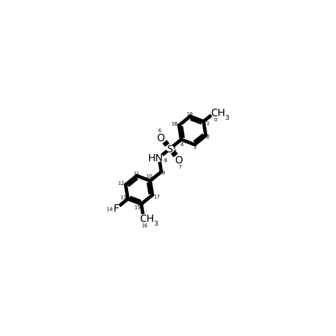 Cc1ccc(S(=O)(=O)NCc2ccc(F)c(C)c2)cc1